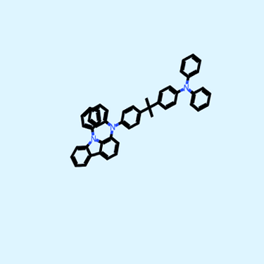 CC(C)(c1ccc(N(c2ccccc2)c2ccccc2)cc1)c1ccc(N(c2ccccc2)c2cccc3c4ccccc4n(-c4ccccc4)c23)cc1